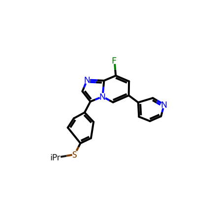 CC(C)Sc1ccc(-c2cnc3c(F)cc(-c4cccnc4)cn23)cc1